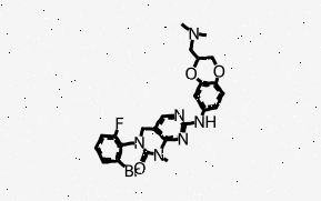 CN(C)CC1COc2ccc(Nc3ncc4c(n3)N(C)C(=O)N(c3c(F)cccc3Br)C4)cc2O1